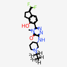 [2H]C([2H])([2H])C([2H])([2H])N1CCC[C@@H](Nc2nnc(-c3ccc4c(c3O)CCC4=C(F)F)n(C)c2=O)C1